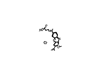 COc1cc2nc3ccc(N(C)CCCC(=O)O)cc3[s+]c2cc1N(C)C.[Cl-]